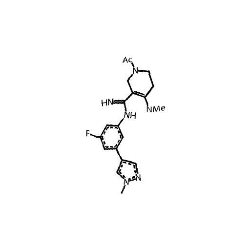 CNC1=C(C(=N)Nc2cc(F)cc(-c3cnn(C)c3)c2)CN(C(C)=O)CC1